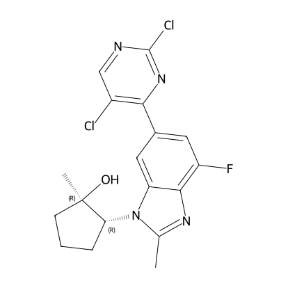 Cc1nc2c(F)cc(-c3nc(Cl)ncc3Cl)cc2n1[C@@H]1CCC[C@@]1(C)O